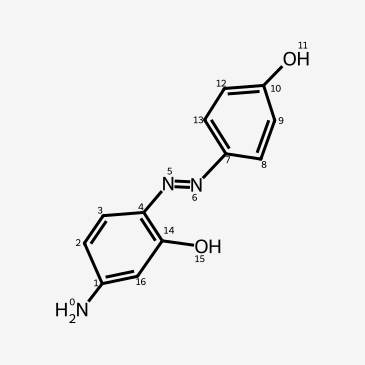 Nc1ccc(/N=N/c2ccc(O)cc2)c(O)c1